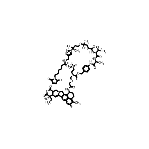 CCC1(O)C(=O)OC(=O)C2=C1C=C1c3nc4cc(F)c(C)c5c4c(c3CN1C2)C(NC(=O)COCN(CCS(C)(=O)=O)C(=O)OCc1ccc(NC(=O)C(C)NC(=O)[C@@H](NC(=O)CCC(C)(C)OCCC(C)(C)n2cc(CNC(=O)CCCCCN3C(=O)C=CC3=O)nn2)C(C)C)cc1)CC5